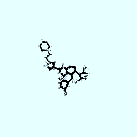 Cc1noc(C)c1-c1ccc2nc(-c3cnn(CCN4CCOCC4)c3)nc(N)c2c1Cc1cccc(Cl)c1